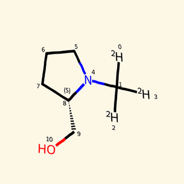 [2H]C([2H])([2H])N1CCC[C@H]1CO